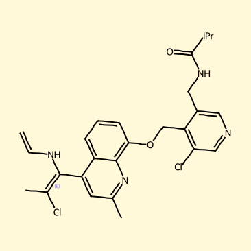 C=CN/C(=C(\C)Cl)c1cc(C)nc2c(OCc3c(Cl)cncc3CNC(=O)C(C)C)cccc12